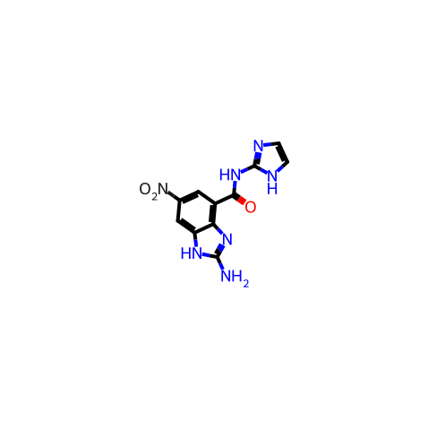 Nc1nc2c(C(=O)Nc3ncc[nH]3)cc([N+](=O)[O-])cc2[nH]1